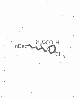 CC(=O)O.CCCCCCCCCCCCCCCCN1CCCC(C)C1